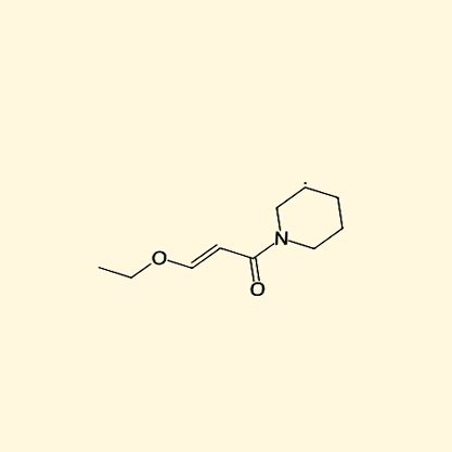 CCOC=CC(=O)N1C[CH]CCC1